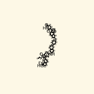 C=CCn1c(=O)c2cnc(Nc3ccc4c(c3)CCN(C3CCN(CC5Cc6ccc7c(C8CCC(=O)NC8=O)noc7c6C5)CC3)C4)nc2n1-c1ccc2c(n1)C(O)(CC)CC2